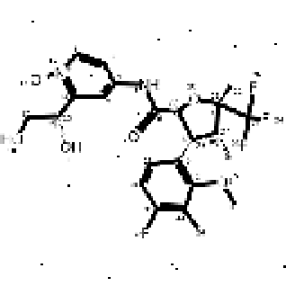 COc1c([C@@H]2[C@@H](C(=O)Nc3cc[n+]([O-])c([C@H](O)CO)c3)O[C@](C)(C(F)(F)F)[C@@H]2C)ccc(F)c1C